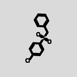 O=S(=O)(Cc1ccccc1)c1ccc(Cl)cc1